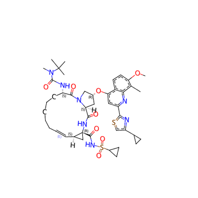 COc1ccc2c(O[C@@H]3C[C@H]4C(=O)N[C@]5(C(=O)NS(=O)(=O)C6CC6)C[C@H]5/C=C/CCCCC[C@H](NC(=O)N(C)C(C)(C)C)C(=O)N4C3)cc(-c3nc(C4CC4)cs3)nc2c1C